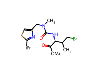 COC(=O)[C@@H](NC(=O)N(C)Cc1csc(C(C)C)n1)C(C)CBr